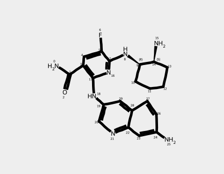 NC(=O)c1cc(F)c(N[C@@H]2CCCC[C@@H]2N)nc1Nc1cnc2cc(N)ccc2c1